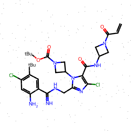 C=CC(=O)N1CC(NC(=O)c2c(Cl)nc(CNC(=N)c3cc(C(C)(C)C)c(Cl)cc3N)n2C2CN(C(=O)OC(C)(C)C)C2)C1